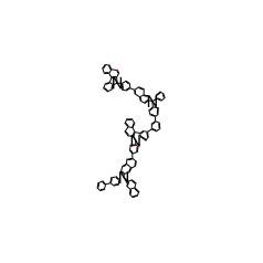 c1ccc(-c2ccc(N(c3ccc4ccccc4c3)c3ccc4cc(-c5ccc(-n6c7ccc(-c8cccc(-c9ccc(N(c%10ccccc%10)c%10ccc%11cc(-c%12ccc(-n%13c%14ccccc%14c%14c%15ccccc%15ccc%14%13)cc%12)ccc%11c%10)cc9)c8)cc7c7c8ccccc8ccc76)cc5)ccc4c3)cc2)cc1